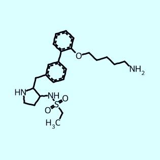 CCS(=O)(=O)NC1CCNC1Cc1cccc(-c2ccccc2OCCCCCN)c1